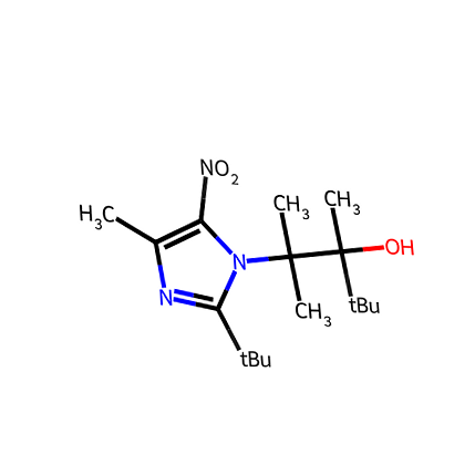 Cc1nc(C(C)(C)C)n(C(C)(C)C(C)(O)C(C)(C)C)c1[N+](=O)[O-]